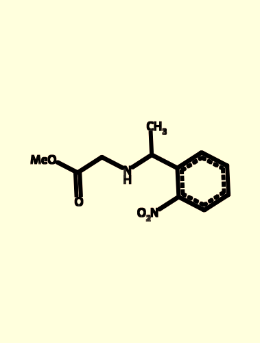 COC(=O)CNC(C)c1ccccc1[N+](=O)[O-]